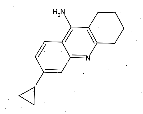 Nc1c2c(nc3cc(C4CC4)ccc13)CCCC2